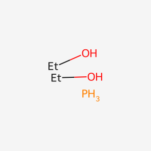 CCO.CCO.P